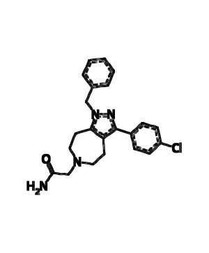 NC(=O)CN1CCc2c(-c3ccc(Cl)cc3)nn(Cc3ccccc3)c2CC1